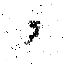 CCOC(=O)c1cccc(NC(=S)N[C@H]2CC[C@@H](Nc3nc(N(C)C)c4ccccc4n3)CC2)c1